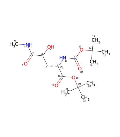 CNC(=O)C(O)C[C@H](NC(=O)OC(C)(C)C)C(=O)OC(C)(C)C